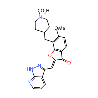 COc1ccc2c(c1CC1CCN(C(=O)O)CC1)OC(=Cc1n[nH]c3ncccc13)C2=O